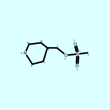 CS(=O)(=O)OCC1CC[N]CC1